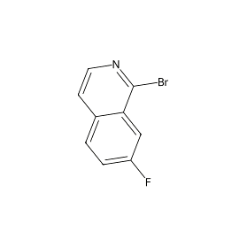 Fc1ccc2ccnc(Br)c2c1